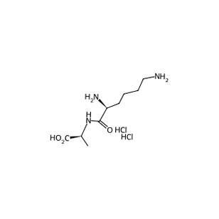 C[C@H](NC(=O)[C@@H](N)CCCCN)C(=O)O.Cl.Cl